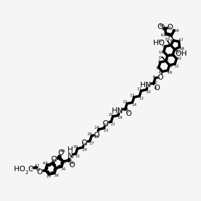 C[C@]12CC[C@H](OCC(=O)NCCCCCCC(=O)NCCCOCCOCCOCCCNC(=O)c3cc4ccc(OCC(=O)O)cc4oc3=O)CC1CCC1C2C[C@@H](O)[C@]2(C)[C@@H](C3=CC(=O)OC3)CC[C@]12O